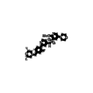 COc1ncc(N2CCOCC2)cc1S(=O)(=O)Nc1ccnc(-c2ccc(CN3C[C@@H](C)O[C@@H](C)C3)cc2F)c1